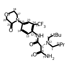 CC(C)CN(CC(C)(C)C)[C@H](C(N)=O)C(=O)Nc1ccc(N2CCOCC2=O)cc1C(F)(F)F